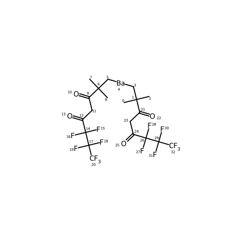 CC(C)([CH2][Ba][CH2]C(C)(C)C(=O)CC(=O)C(F)(F)C(F)(F)C(F)(F)F)C(=O)CC(=O)C(F)(F)C(F)(F)C(F)(F)F